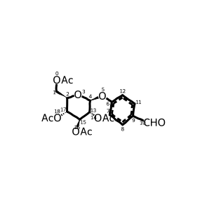 CC(=O)OC[C@H]1O[C@@H](Oc2ccc(C=O)cc2)[C@H](OC(C)=O)[C@@H](OC(C)=O)[C@@H]1OC(C)=O